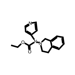 CCOC(=O)N(c1ccncc1)N1CCc2ccccc2C1